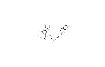 COc1c(F)cc(C2(C)CCOCC2)cc1[C@@H](C(=O)O)N1CC[C@@H](N(C)CCCCCc2ccc3c(n2)NCCC3)C1